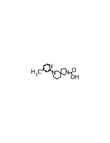 Cc1ccnc(N2CCCC3(CCN(C(=O)O)C3)C2)c1